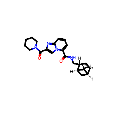 CC1(C)[C@H]2CC[C@@H](CNC(=O)c3cccc4nc(C(=O)N5CCCCC5)cn34)[C@@H]1C2